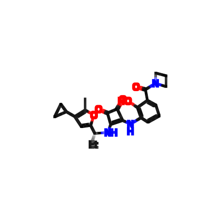 CC[C@@H](Nc1c(Nc2cccc(C(=O)N3CCC3)c2O)c(=O)c1=O)c1cc(C2CC2)c(C)o1